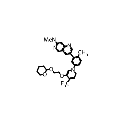 CNc1cc2ncc(-c3cc(N4C=C(OCCOC5CCCCO5)C(C(F)(F)F)=CC4)ccc3C)cc2cn1